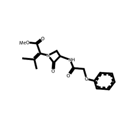 COC(=O)C(=C(C)C)N1CC(NC(=O)COc2ccccc2)C1=O